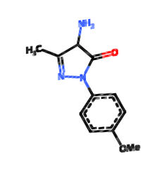 COc1ccc(N2N=C(C)C(N)C2=O)cc1